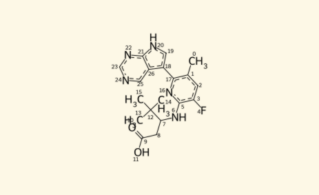 Cc1cc(F)c(NC(CC(=O)O)C(C)(C)C)nc1-c1c[nH]c2ncncc12